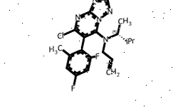 C=CCN(c1c(-c2c(C)cc(F)cc2F)c(Cl)nc2ncnn12)[C@H](C)C(C)C